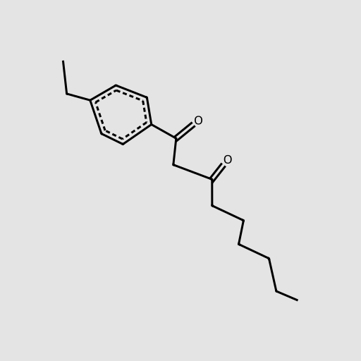 CCCCCCC(=O)CC(=O)c1ccc(CC)cc1